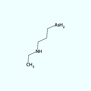 CCNCCC[AsH2]